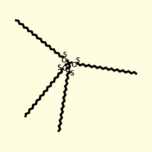 CCCCCCCCCCCCCCCCCCCCCC(=S)OCC(COC(=S)CCCCCCCCCCCCCCCCCCCCC)(COC(=S)CCCCCCCCCCCCCCCCCCCCC)COC(=S)CCCCCCCCCCCCCCCCCCCCC